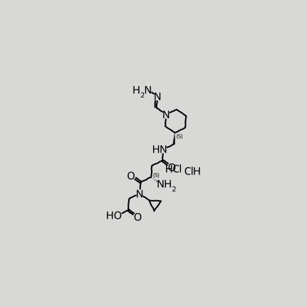 Cl.Cl.NN=CN1CCC[C@@H](CNC(=O)C[C@H](N)C(=O)N(CC(=O)O)C2CC2)C1